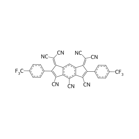 N#CC(C#N)=C1C(c2ccc(C(F)(F)F)cc2)=C(C#N)c2c1cc1c(c2C#N)C(C#N)=C(c2ccc(C(F)(F)F)cc2)C1=C(C#N)C#N